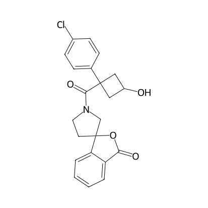 O=C1OC2(CCN(C(=O)C3(c4ccc(Cl)cc4)CC(O)C3)C2)c2ccccc21